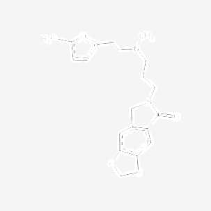 Cc1ccc(CCN(C)CCCN2Cc3cc4c(cc3C2=O)OCO4)o1